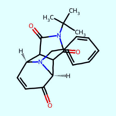 CC(C)(C)N1C(=O)C2C(C1=O)[C@@H]1C=CC(=O)[C@H]2N1Cc1ccccc1